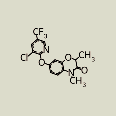 CC1Oc2cc(Oc3ncc(C(F)(F)F)cc3Cl)ccc2N(C)C1=O